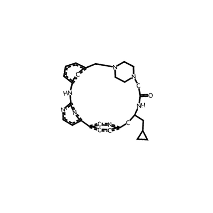 O=C1CN2CCN(CC2)Cc2cccc(c2)Nc2nccc(n2)-c2ccc(nc2)CC(CC2CC2)N1